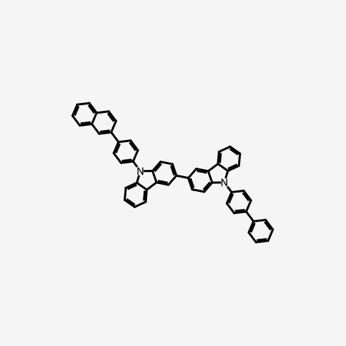 c1ccc(-c2ccc(-n3c4ccccc4c4cc(-c5ccc6c(c5)c5ccccc5n6-c5ccc(-c6ccc7ccccc7c6)cc5)ccc43)cc2)cc1